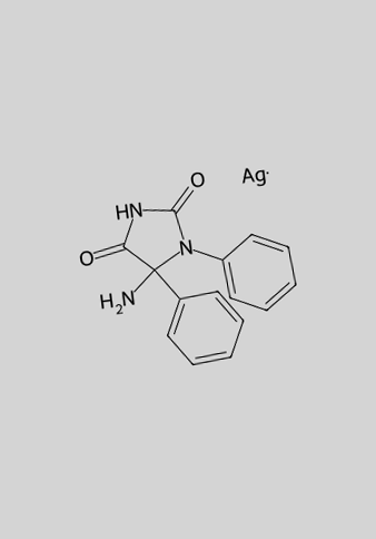 NC1(c2ccccc2)C(=O)NC(=O)N1c1ccccc1.[Ag]